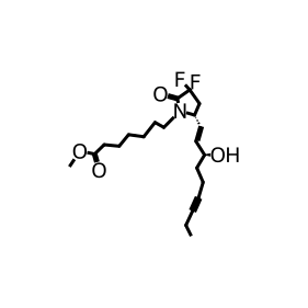 CCC#CCC[C@H](O)/C=C/[C@H]1CC(F)(F)C(=O)N1CCCCCCC(=O)OC